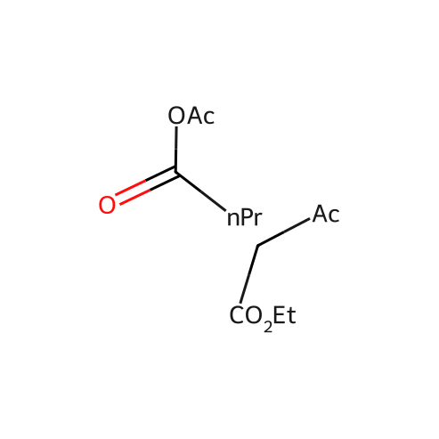 CCCC(=O)OC(C)=O.CCOC(=O)CC(C)=O